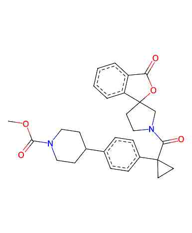 COC(=O)N1CCC(c2ccc(C3(C(=O)N4CCC5(C4)OC(=O)c4ccccc45)CC3)cc2)CC1